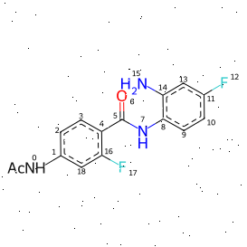 CC(=O)Nc1ccc(C(=O)Nc2ccc(F)cc2N)c(F)c1